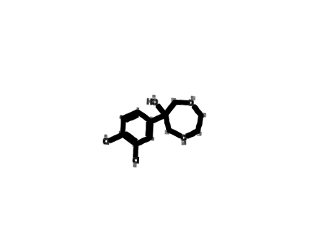 OC1(c2ccc(Cl)c(Cl)c2)COCCOC1